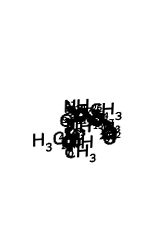 Cc1cc(C)c(CNC(=O)c2cc(-c3ccc(CN4CCOCC4)cc3C)ccc2C=N)c(=O)[nH]1